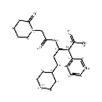 O=C(CN1CCCCC1=O)NC(CCC1CCNCC1)[C@@H](C(=O)O)c1cccnc1